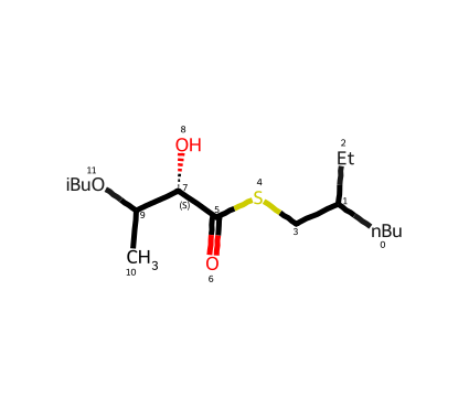 CCCCC(CC)CSC(=O)[C@@H](O)C(C)OCC(C)C